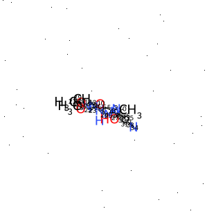 Cc1nn(-c2ccc(NC(=O)N3CCN(C(=O)OC(C)(C)C)CC3)cn2)c(O)c1-c1ccc(C#N)cc1